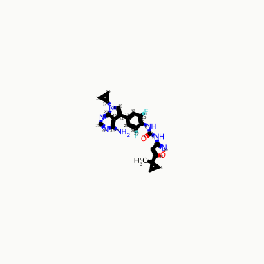 CC1(c2cc(NC(=O)Nc3c(F)cc(-c4cn(C5CC5)c5ncnc(N)c45)cc3F)no2)CC1